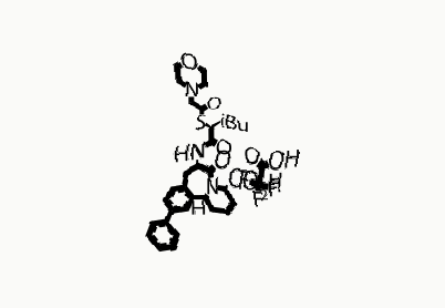 CC[C@H](C)[C@H](SC(=O)CN1CCOCC1)C(=O)N[C@H]1Cc2ccc(-c3ccccc3)cc2[C@H]2CCC[C@@H](C(=O)O)N2C1=O.O=C(O)C(F)(F)F